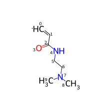 [CH]=CC(=O)NCCN(C)C